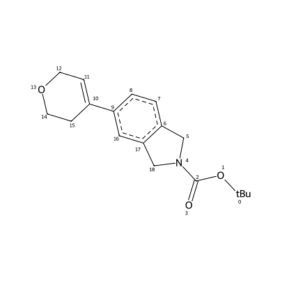 CC(C)(C)OC(=O)N1Cc2ccc(C3=CCOCC3)cc2C1